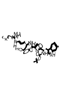 CC(C)(C)OC(=O)N[C@@H](Cc1c[nH]c2ccccc12)c1nc(C(=O)N[C@@H](CCCNC(=N)N)C(=O)O)co1